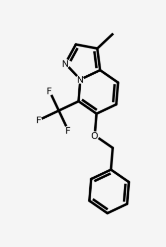 Cc1cnn2c(C(F)(F)F)c(OCc3ccccc3)ccc12